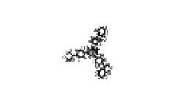 c1ccc(-c2ccc(-c3cc(-c4ccc(-c5cccc6ccccc56)cc4)nc(-c4ccc5c(c4)oc4ccccc45)n3)cc2)cc1